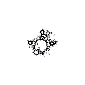 C=CC(C)(C)n1cc(C[C@@H]2NC(=O)[C@H](Cc3ccccc3)NC(=O)[C@H](CC(C)C)N3CC/C=C\C[C@@H](C3=O)N(C)C(=O)[C@H](C)NC(=O)[C@H](Cc3ccc4occc4c3)NC(=O)[C@H](CC(C)C)N(C)C2=O)c2ccccc21